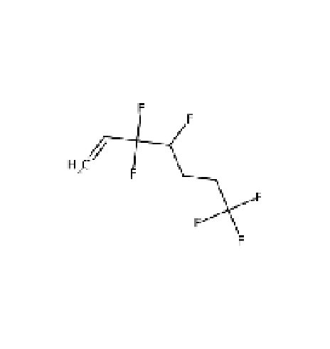 C=CC(F)(F)C(F)CCC(F)(F)F